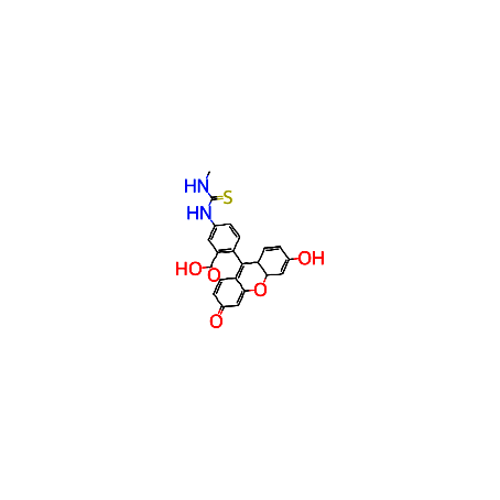 CNC(=S)Nc1ccc(C2=C3C=CC(=O)C=C3OC3C=C(O)C=CC23)c(C(=O)O)c1